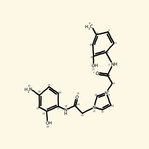 Cc1ccc(NC(=O)C[n+]2ccn(CC(=O)Nc3ccc(N)cc3O)c2)c(O)c1